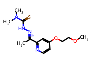 COCCOc1ccnc(/C(C)=N/NC(=S)N(C)C)c1